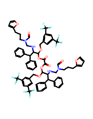 O=CN(CCCc1ccco1)CNC(C(OCc1cc(C(F)(F)F)cc(C(F)(F)F)c1)OC(=O)C(=O)OC(OCc1cc(C(F)(F)F)cc(C(F)(F)F)c1)C(NCN(C=O)CCCc1ccco1)C(c1ccccc1)c1ccccc1)C(c1ccccc1)c1ccccc1